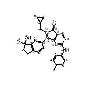 CCC1(O)CCc2ccc(-n3c4nc(Nc5ccc(C)cc5)ncc4c(=O)n3CC3CC3)nc21